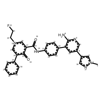 Cn1cc(-c2cnc(N)c(-c3ccc(NC(=O)c4cn(CCF)cc(-c5ccccc5)c4=O)cc3)c2)cn1